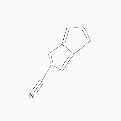 N#CC1=CC2=CC=CC2=C1